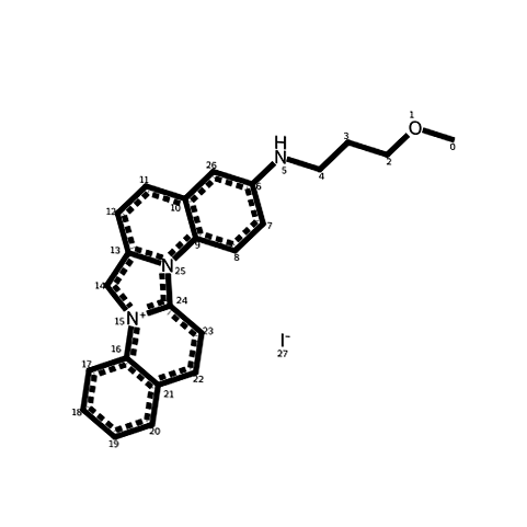 COCCCNc1ccc2c(ccc3c[n+]4c5ccccc5ccc4n32)c1.[I-]